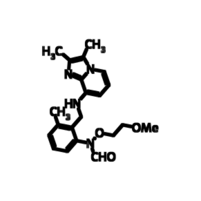 COCCON(C=O)c1cccc(C)c1CNc1cccn2c(C)c(C)nc12